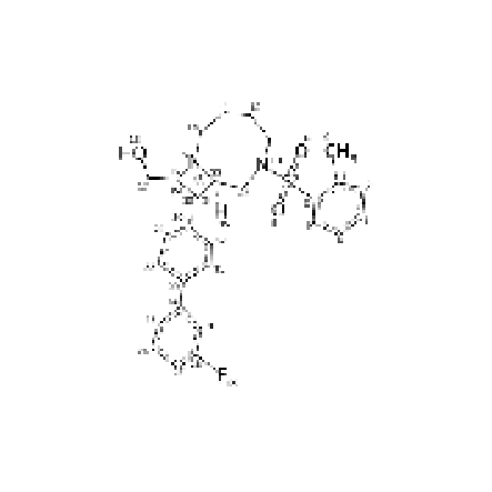 Cc1ccccc1S(=O)(=O)N1CCCCN2[C@H](CO)[C@@H](c3ccc(-c4cccc(F)c4)cc3)[C@@H]2C1